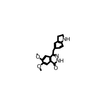 COc1cc2c(Cc3ccc4c(c3)CCN4)n[nH]c(=O)c2cc1OC